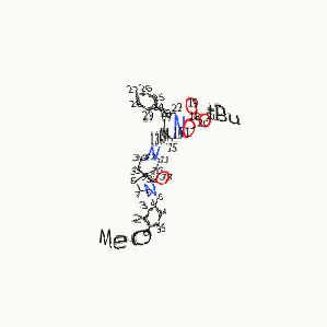 COc1ccc(CN2CCC3(CCN(C[C@H]4CN(OC(=O)OC(C)(C)C)C[C@@H]4c4ccccc4)CC3)C2=O)cc1